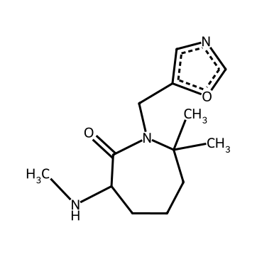 CNC1CCCC(C)(C)N(Cc2cnco2)C1=O